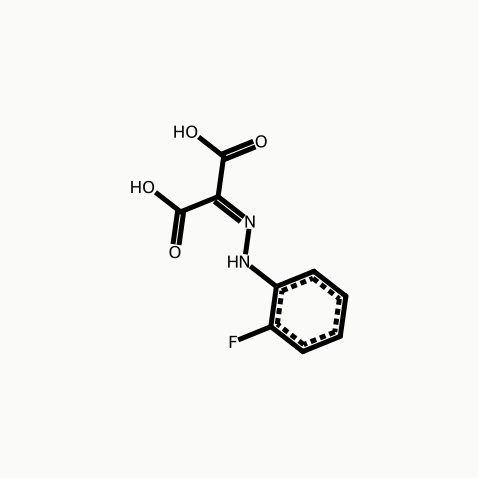 O=C(O)C(=NNc1ccccc1F)C(=O)O